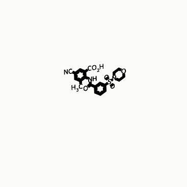 Cc1cc(C#N)cc(C(=O)O)c1NC(=O)c1cccc(S(=O)(=O)N2CCOCC2)c1